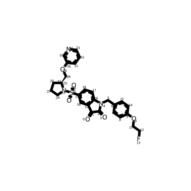 O=C1C(=O)N(Cc2ccc(OCCF)cc2)c2ccc(S(=O)(=O)N3CCC[C@H]3COc3cccnc3)cc21